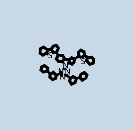 c1ccc(-c2cccc(-c3nc(-c4cccc(-c5ccccc5)c4)nc(-n4c5ccc(-c6cccc7c6sc6ccccc67)cc5c5cc(-c6cccc7c6sc6ccccc67)ccc54)n3)c2)cc1